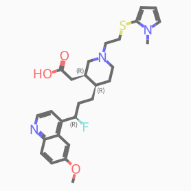 COc1ccc2nccc([C@H](F)CC[C@@H]3CCN(CCSc4cccn4C)C[C@@H]3CC(=O)O)c2c1